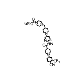 CC(C)(C)OC(=O)N1CCN(CC2CCN(c3cnc(NC(=O)C4CCN(c5ccc(C#N)c(C(F)(F)F)c5)CC4)nc3)CC2)CC1